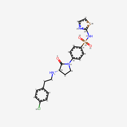 O=C1[C@@H](NCCc2ccc(Cl)cc2)CCN1c1ccc(S(=O)(=O)Nc2nccs2)cc1